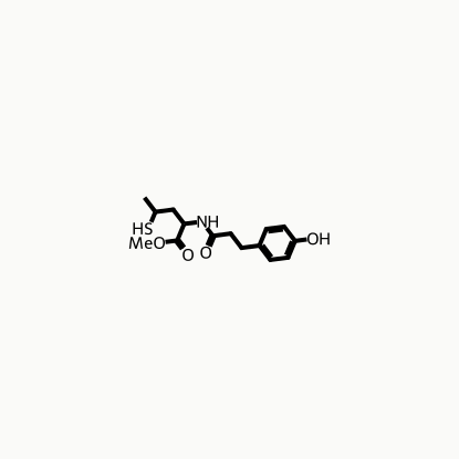 COC(=O)C(CC(C)S)NC(=O)CCc1ccc(O)cc1